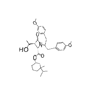 COc1ccc(CC(Cc2ccc(OC)cc2)N2C(=O)[C@H](C(C)O)[C@H]2C(=O)OC2CCCC(C)(C(C)C)C2)cc1